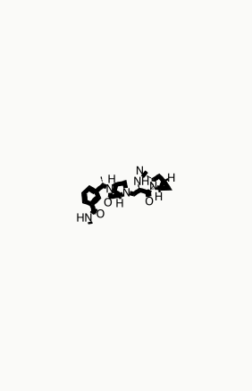 CNC(=O)c1cccc([C@H](C)N2C(=O)[C@@H]3C[C@H]2CN3C[C@H](N)C(=O)N2[C@H](C#N)C[C@@H]3C[C@@H]32)c1